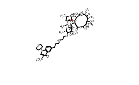 CC[C@H]1OC(=O)[C@H](C)[C@@H](O[C@H]2C[C@@](C)(OC)[C@@H](OCCNCCCc3ccc4c(c3)c(=O)c(C(=O)O)cn4N3CCOCC3)[C@H](C)O2)[C@H](C)[C@@H](O[C@@H]2O[C@H](C)C[C@H](N(C)C)[C@H]2O)[C@](C)(OC)C[C@@H](C)C(=O)[C@@H](C)[C@@H](O)[C@]1(C)O